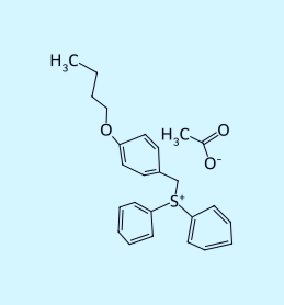 CC(=O)[O-].CCCCOc1ccc(C[S+](c2ccccc2)c2ccccc2)cc1